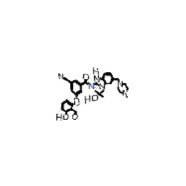 CN1CCN(Cc2ccc3[nH]/c(=N\C(=O)c4cc(C#N)cc(Oc5cccc(O)c5C=O)c4)n(CC(C)(C)O)c3c2)CC1